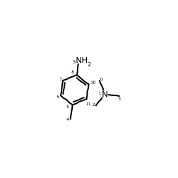 CN(C)C.Cc1ccc(N)cc1